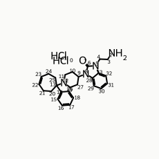 Cl.Cl.NCCn1c(=O)n(C2CCN(C3(c4ccccc4)CCC=CCC3)CC2)c2ccccc21